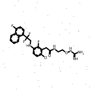 N=C(N)NOCCNC(=O)Cc1c(Cl)ccc(NCC(F)(F)c2ccc(F)c3ccccc23)c1F